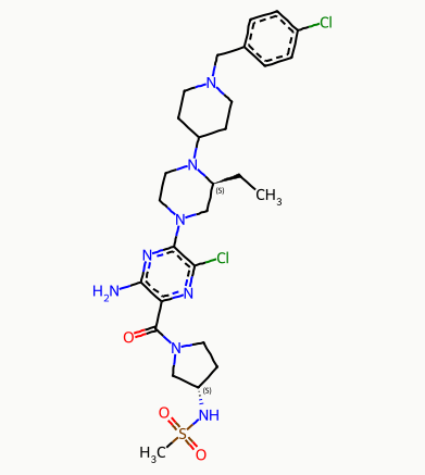 CC[C@H]1CN(c2nc(N)c(C(=O)N3CC[C@H](NS(C)(=O)=O)C3)nc2Cl)CCN1C1CCN(Cc2ccc(Cl)cc2)CC1